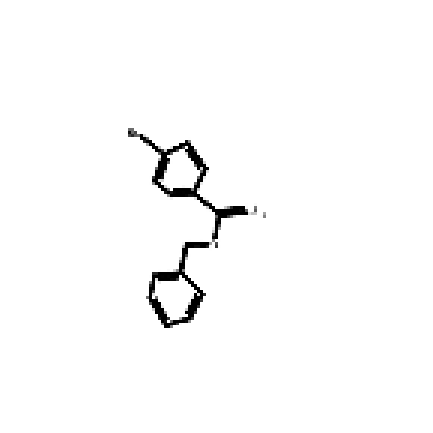 C=C(OCc1ccccc1)c1ccc(Br)cc1